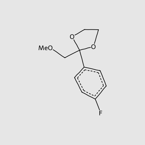 COCC1(c2ccc(F)cc2)OCCO1